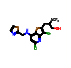 OCC(Cc1sc2c(NCc3nccs3)cc(Cl)nc2c1Br)NC(F)(F)F